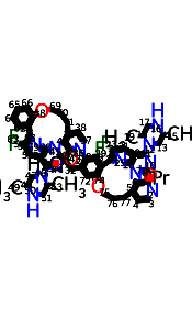 CC(C)c1nccc2c1-n1c(=O)nc(N3C[C@@H](C)NC[C@@H]3C)c3cc(F)c(nc31)-c1c(F)cc(CC(C)c3nccc4c3-n3c(=O)nc(N5C[C@@H](C)NC[C@@H]5C)c5cc(F)c(nc53)-c3c(F)cccc3OCCC4)cc1OCCC2